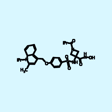 CC1=CC(COc2ccc(S(=O)(=O)NC3(C(=O)NO)CN(C(=O)C(C)C)C3)cc2)=C2C=CC=CC2N1C(C)C